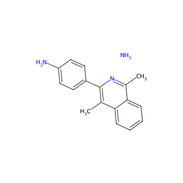 Cc1nc(-c2ccc(N)cc2)c(C)c2ccccc12.N